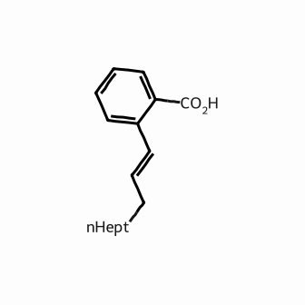 CCCCCCCCC=Cc1ccccc1C(=O)O